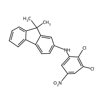 CC1(C)c2ccccc2-c2ccc(Nc3cc([N+](=O)[O-])cc(Cl)c3Cl)cc21